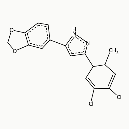 CC1C=C(Cl)C(Cl)=CC1c1cc(-c2ccc3c(c2)OCO3)[nH]n1